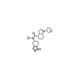 O=C(C1CCCC2C1CCN2C1CCOC1)N(C1CC1)C1CCc2[nH]ncc2C1